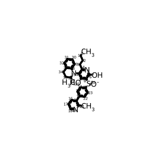 CCCCc1nc(O)c([S+]([O-])c2ccc(-c3cccnc3C)cc2)c(O)c1N1c2ccccc2CCC1C